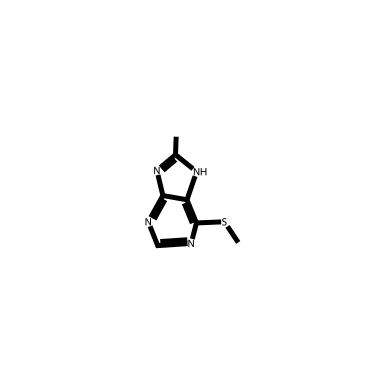 CSc1ncnc2nc(C)[nH]c12